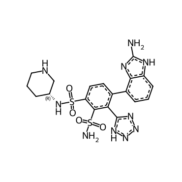 Nc1nc2c(-c3ccc(S(=O)(=O)N[C@@H]4CCCNC4)c(S(N)(=O)=O)c3-c3nnn[nH]3)cccc2[nH]1